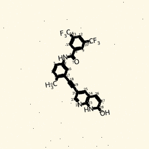 Cc1ccc(NC(=O)c2cc(C(F)(F)F)cc(C(F)(F)F)c2)cc1C#Cc1cnc2c(c1)C=CC(O)N2